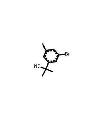 Cc1cc(Br)cc(C(C)(C)C#N)c1